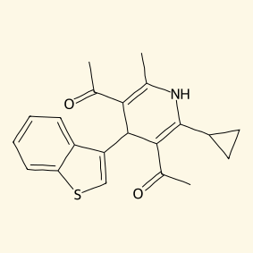 CC(=O)C1=C(C)NC(C2CC2)=C(C(C)=O)C1c1csc2ccccc12